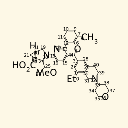 CCc1cc(COc2c(C)cccc2-c2cccc(N3C[C@@H]4C[C@]4(C(=O)O)C3COC)n2)cc2c1CN(C1CCOCC1)CC2